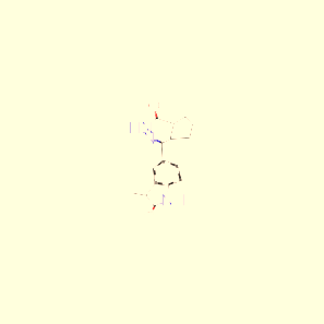 CC1C(=O)Nc2ccc(C3=NNC(=O)C4CCCC34)cc21